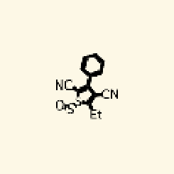 CCC1=C(C#N)C(c2ccccc2)=C(C#N)S1=S=O